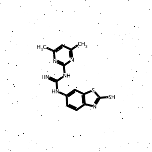 Cc1cc(C)nc(NC(=N)Nc2ccc3nc(S)sc3c2)n1